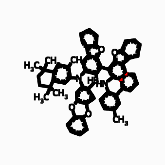 Cc1ccc(Nc2ccc3c(oc4ccccc43)c2-c2c3c(cc4c2oc2ccccc24)N(c2cc4c(cc2C)C(C)(C)CCC4(C)C)c2cc4c(cc2B3)Oc2ccccc2O4)c(-c2ccccc2)c1